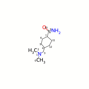 CN(C)CC1CCC(C(N)=O)CC1